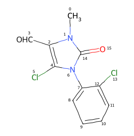 Cn1c(C=O)c(Cl)n(-c2ccccc2Cl)c1=O